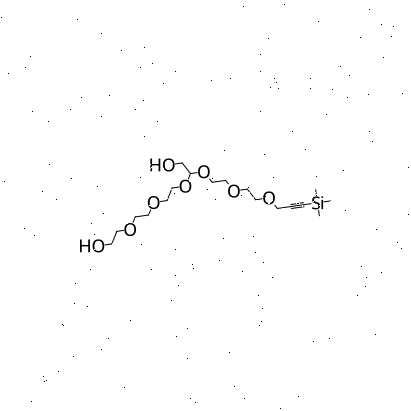 C[Si](C)(C)C#CCOCCOCCOC(CO)OCCOCCOCCO